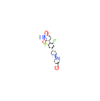 O=Cc1ccc(N2CCC(c3cc(F)c(C4CCC(=O)NC4=O)c(F)c3)CC2)nc1